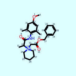 COc1cc(C)c(NC(=O)C(C)[N+]2(CC(=O)OCc3ccccc3)CCCCC2)c(C)c1